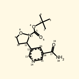 CC(C)(C)OC(=O)N1OCCC1c1cncc(C(N)=O)c1